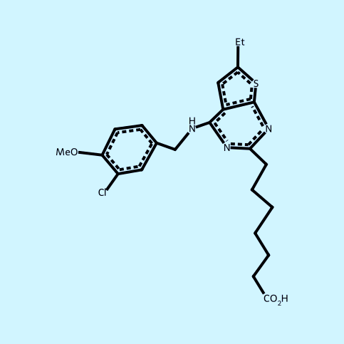 CCc1cc2c(NCc3ccc(OC)c(Cl)c3)nc(CCCCCCC(=O)O)nc2s1